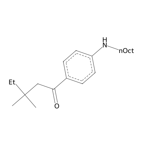 [CH2]CC(C)(C)CC(=O)c1ccc(NCCCCCCCC)cc1